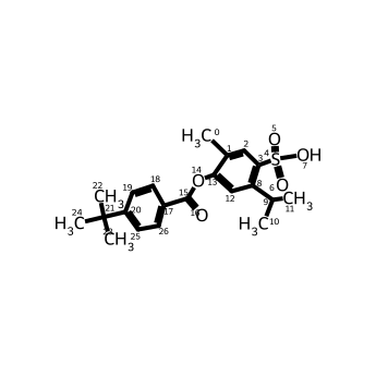 Cc1cc(S(=O)(=O)O)c(C(C)C)cc1OC(=O)c1ccc(C(C)(C)C)cc1